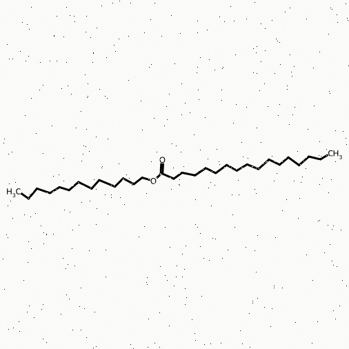 CCCCCCCCCCCCCCCCC(=O)OCCCCCCCCCCCCC